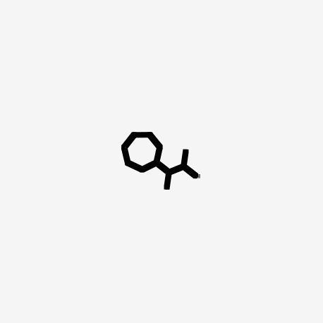 [CH2]C(C)C(C)C1CCCCCC1